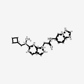 CN(CC1CCC1)c1ncc2cnn(CC(=O)Nc3ccc4ncnn4c3)c2n1